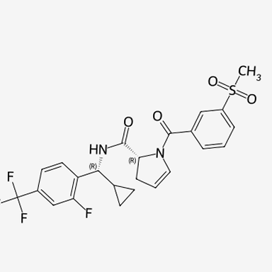 CS(=O)(=O)c1cccc(C(=O)N2C=CC[C@@H]2C(=O)N[C@@H](c2ccc(C(F)(F)F)cc2F)C2CC2)c1